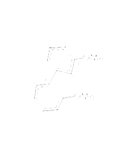 COc1[c]c(-c2ccccc2OC)ccc1